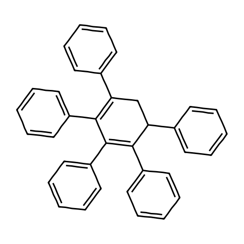 c1ccc(C2=C(c3ccccc3)C(c3ccccc3)=C(c3ccccc3)C(c3ccccc3)C2)cc1